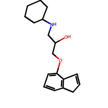 OC(CNC1CCCCC1)COc1cccc2c1C=CC2